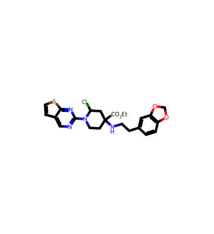 CCOC(=O)C1(NCCc2ccc3c(c2)OCO3)CCN(c2ncc3ccsc3n2)C(Cl)C1